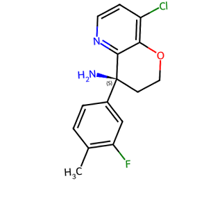 Cc1ccc([C@@]2(N)CCOc3c(Cl)ccnc32)cc1F